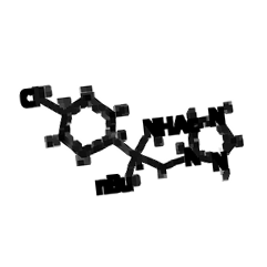 CCCCC(Cn1cncn1)(NC(C)=O)c1ccc(Cl)cc1